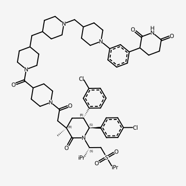 CC(C)[C@@H](CS(=O)(=O)C(C)C)N1C(=O)[C@@](C)(CC(=O)N2CCC(C(=O)N3CCC(CC4CCN(CC5CCN(c6cccc(C7CCC(=O)NC7=O)c6)CC5)CC4)CC3)CC2)C[C@H](c2cccc(Cl)c2)[C@H]1c1ccc(Cl)cc1